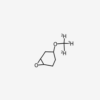 [2H]C([2H])([2H])OC1CCC2OC2C1